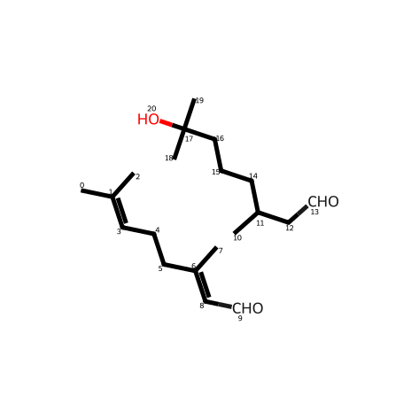 CC(C)=CCC/C(C)=C/C=O.CC(CC=O)CCCC(C)(C)O